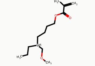 C=C(C)C(=O)OCCCC[SiH](CCC)COC